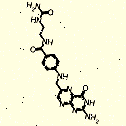 NC(=O)NCCNC(=O)c1ccc(NCc2cnc3nc(N)[nH]c(=O)c3n2)cc1